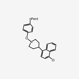 CCCCCc1ccc(ON2CCC(c3ccc([O])c4ccccc34)CC2)cc1